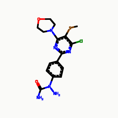 CSc1c(Cl)nc(-c2ccc(N(N)C(N)=O)cc2)nc1N1CCOCC1